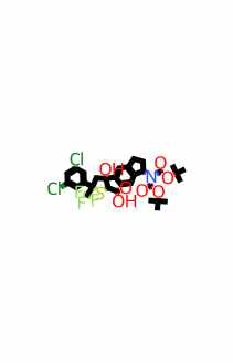 CC(C)(C)OC(=O)N(C(=O)OC(C)(C)C)C1CCc2cc(C3(O)CC(c4cc(Cl)cc(Cl)c4)(C(F)(F)F)SC3C(=O)O)ccc21